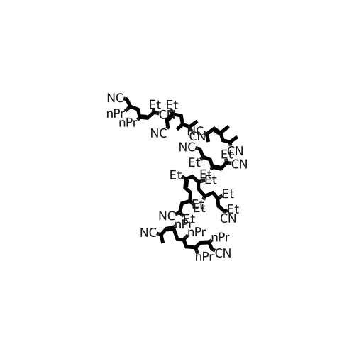 CC(=CC(C)C#N)CC(C)C#N.CCC(=CC(C#N)CC)CC(CC)CC#N.CCC(=CCC#N)CC(C)C(C)C#N.CCC(=CCC(CC)CC(C#N)CC)CC(CC)CC(CC)CC(CC)CC(C#N)CC.CCCC(=CC(C#N)CC)CC(CC#N)CCC.CCCC(=CC(C)C#N)CC(CCC)CC(CCC)CC(CC#N)CCC